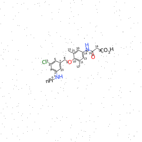 CCCNc1cc(Cl)cc(COc2c(C)cc(NC(=O)CC(=O)O)cc2C)c1